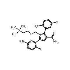 Cc1ccc(Cl)cc1-c1c(C(N)=O)cc(-c2nc(N)ncc2I)n1COCC[Si](C)(C)C